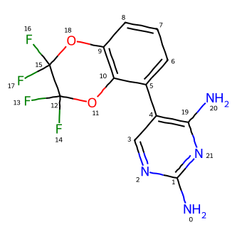 Nc1ncc(-c2cccc3c2OC(F)(F)C(F)(F)O3)c(N)n1